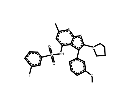 COc1cccc(-c2c(N3CCCC3)sc3nc(C)cc(NS(=O)(=O)c4cccc(I)c4)c23)c1